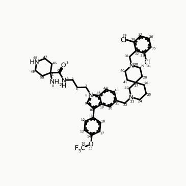 NC1(C(=O)NCCCn2cc(-c3ccc(OC(F)(F)F)cc3)c3cc(CN4CCCC5(CCN(Cc6c(Cl)cccc6Cl)CC5)C4)ccc32)CCNCC1